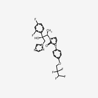 C[C@@H](n1ccn(-c2ccc(OCC(F)(F)C(F)F)cc2)c1=O)[C@](O)(Cn1cncn1)c1ccc(F)cc1F